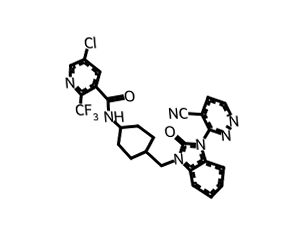 N#Cc1ccnnc1-n1c(=O)n(CC2CCC(NC(=O)c3cc(Cl)cnc3C(F)(F)F)CC2)c2ccccc21